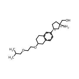 CC(C)COCCOC1CCc2cc([C@H]3CC[C@](N)(CO)C3)ccc2C1